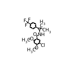 COc1cc(OC)c(C(=O)NC2C(c3ccc(C(F)(F)F)cc3)C2(C)C)cc1Cl